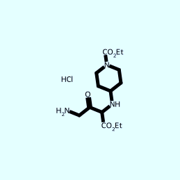 CCOC(=O)C(NC1CCN(C(=O)OCC)CC1)C(=O)CN.Cl